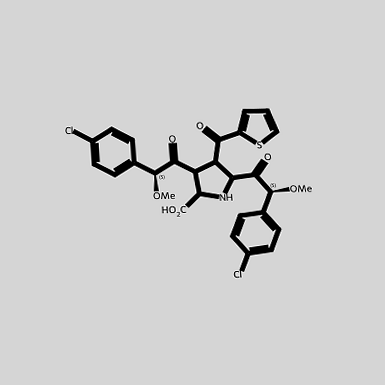 CO[C@H](C(=O)C1NC(C(=O)O)C(C(=O)[C@@H](OC)c2ccc(Cl)cc2)C1C(=O)c1cccs1)c1ccc(Cl)cc1